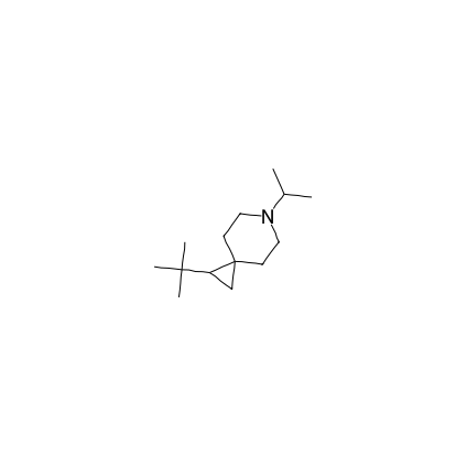 CC(C)N1CCC2(CC1)CC2C(C)(C)C